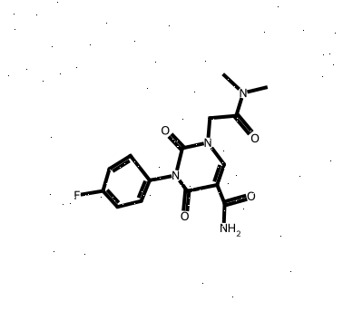 CN(C)C(=O)Cn1cc(C(N)=O)c(=O)n(-c2ccc(F)cc2)c1=O